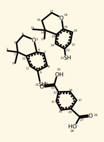 CC1(C)CCOc2ccc(S)cc21.CC1(C)CCOc2ccc(S)cc21.O=C(O)c1ccc(C(=O)O)cc1